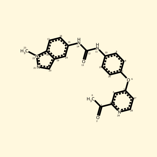 CC(=O)c1cc(Oc2ccc(NC(=O)Nc3ccc4c(cnn4C)c3)cc2)ccn1